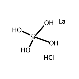 Cl.O[Si](O)(O)O.[La]